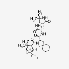 CC(=O)N[C@H](C(=O)N1CC2(CCCCC2)C[C@H]1C(=O)N[C@@H](C[C@@H]1CC(C)(C)NC1=O)C(N)=O)C(C)(C)C